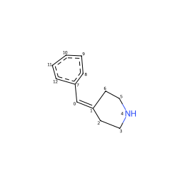 C(=C1CCNCC1)c1ccccc1